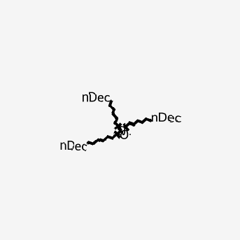 CCCCCCCCCCCCCCCCC(C)(C)[Si]([O])(C(C)(C)CCCCCCCCCCCCCCCC)C(C)(C)CCCCCCCCCCCCCCCC